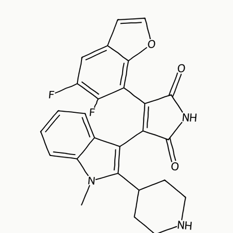 Cn1c(C2CCNCC2)c(C2=C(c3c(F)c(F)cc4ccoc34)C(=O)NC2=O)c2ccccc21